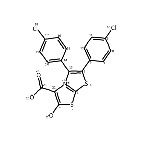 [O]c1sc2sc(-c3ccc(Cl)cc3)c(-c3ccc(Cl)cc3)[n+]2c1C(=O)[O-]